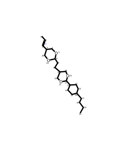 C/C=C/C1COC(CCC2COC(C3CCC(CCCC)CC3)OC2)OC1